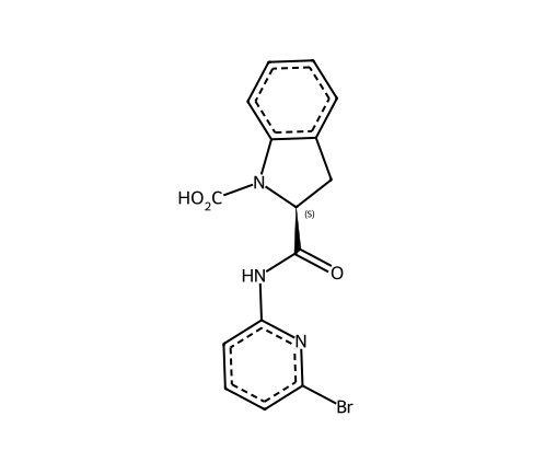 O=C(Nc1cccc(Br)n1)[C@@H]1Cc2ccccc2N1C(=O)O